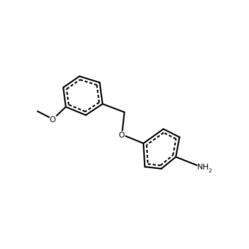 COc1cccc(COc2ccc(N)cc2)c1